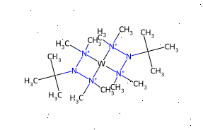 CC(C)(C)N1[N+](C)(C)[W]2([N+]1(C)C)[N+](C)(C)N(C(C)(C)C)[N+]2(C)C